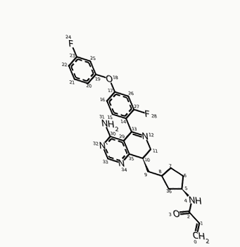 C=CC(=O)N[C@@H]1CCC(C[C@@H]2CN=C(c3ccc(Oc4cccc(F)c4)cc3F)c3c(N)ncnc32)C1